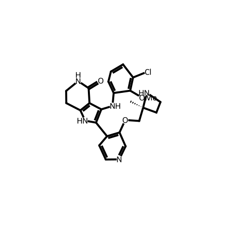 COc1c(Cl)cccc1Nc1c(-c2ccncc2OC[C@]2(C)CCN2)[nH]c2c1C(=O)NCC2